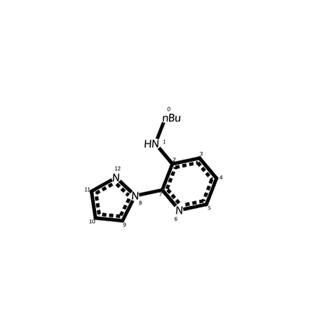 CCCCNc1cccnc1-n1cccn1